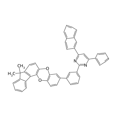 CC1(C)c2ccccc2-c2c1ccc1c2Oc2ccc(-c3cccc(-c4nc(-c5ccccc5)cc(-c5ccc6ccccc6c5)n4)c3)cc2O1